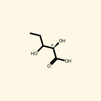 CCC(O)[C@@H](O)C(=O)O